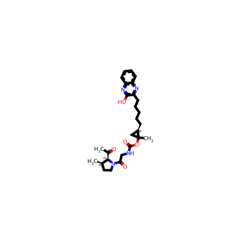 CC(=O)[C@@H]1[C@H](C)CCN1C(=O)CNC(=O)OC1(C)C[C@H]1CCCCCc1nc2ccccc2nc1O